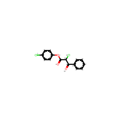 O=C(Oc1ccc(Cl)cc1)C(Cl)C(=O)c1ccccc1